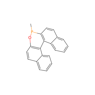 CP1Oc2ccc3ccccc3c2-c2c1ccc1ccccc21